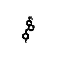 CN1CCC(CN2CCOc3cc(N)ccc32)CC1